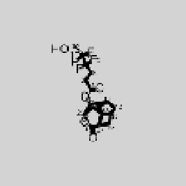 O=C(CCC(F)(F)C(F)(F)S(=O)(=O)O)OC1C2CC3CC4C(=O)OC1CC34C2